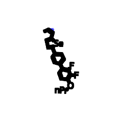 C/C=C\c1ccc(-c2ccc(-c3ccc(OCCC)c(F)c3F)cc2)[se]1